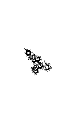 Cc1ccc(S(=O)(=O)n2ccc3c(-c4nc(C5CCCS5(=O)=O)cc(N5CCOCC5C)n4)ccnc32)cc1